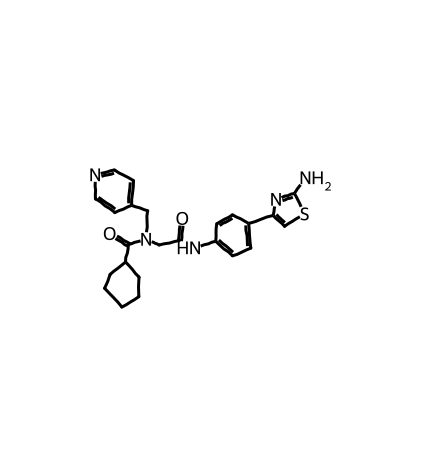 Nc1nc(-c2ccc(NC(=O)CN(Cc3ccncc3)C(=O)C3CCCCC3)cc2)cs1